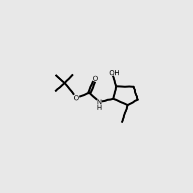 CC1CCC(O)C1NC(=O)OC(C)(C)C